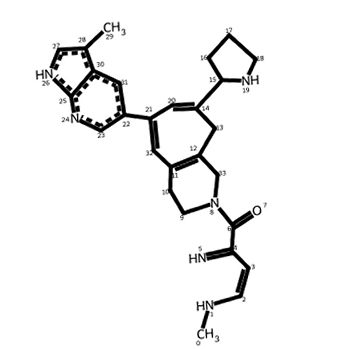 CN/C=C\C(=N)C(=O)N1CCC2=C(CC(C3CCCN3)=CC(c3cnc4[nH]cc(C)c4c3)=C2)C1